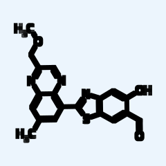 COCc1cnc2c(-c3nc4cc(O)c(C=O)cc4s3)cc(C)cc2n1